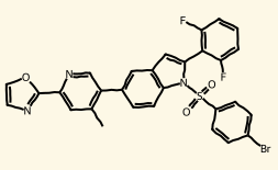 Cc1cc(-c2ncco2)ncc1-c1ccc2c(c1)cc(-c1c(F)cccc1F)n2S(=O)(=O)c1ccc(Br)cc1